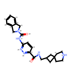 O=C(NCC1CC2(CCNCC2)C1)c1ccc(NC(=O)N2Cc3ccccc3C2)nn1